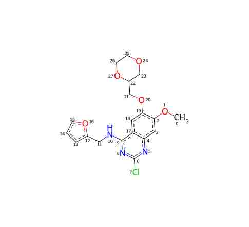 COc1cc2nc(Cl)nc(NCc3ccco3)c2cc1OCC1COCCO1